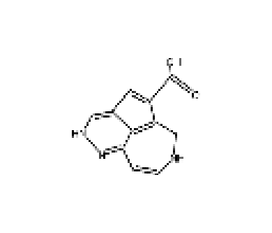 O=C(O)c1cc2c[nH]nc3c-2c1CNC=C3